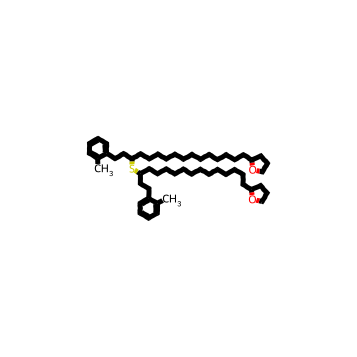 Cc1ccccc1CCC(CCCCCCCCCCCCCC1CCCO1)SC(CCCCCCCCCCCCCC1CCCO1)CCc1ccccc1C